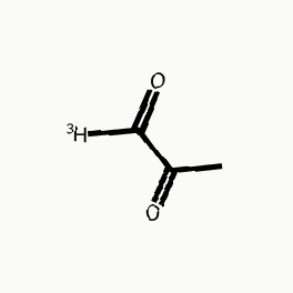 [3H]C(=O)C(C)=O